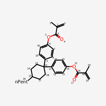 C=C(C)C(=O)Oc1ccc(C2(c3ccc(OC(=O)C(=C)C)cc3)CCC(CCCCC)CC2)cc1